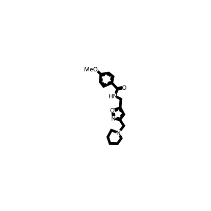 COc1ccc(C(=O)NCc2cc(CN3CCCCC3)no2)cc1